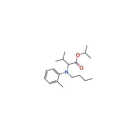 CCCCN(c1ccccc1C)C(C(=O)OC(C)C)C(C)C